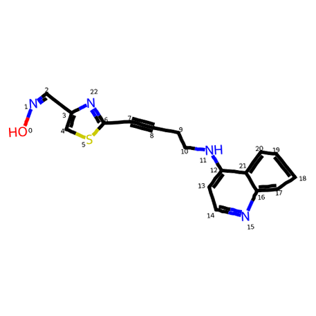 O/N=C\c1csc(C#CCCNc2ccnc3ccccc23)n1